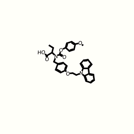 CCC(C(=O)O)N(Cc1ccc(OCCn2c3ccccc3c3ccccc32)cc1)C(=O)Oc1ccc(OC)cc1